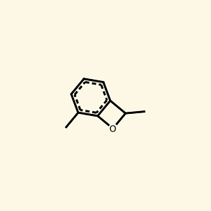 Cc1cccc2c1OC2C